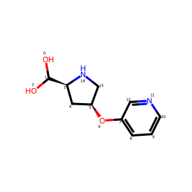 OC(O)[C@@H]1C[C@H](Oc2cccnc2)CN1